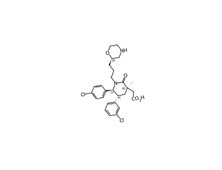 C[C@]1(CC(=O)O)C[C@H](c2cccc(Cl)c2)[C@@H](c2ccc(Cl)cc2)N(CCC[C@@H]2CNCCO2)C1=O